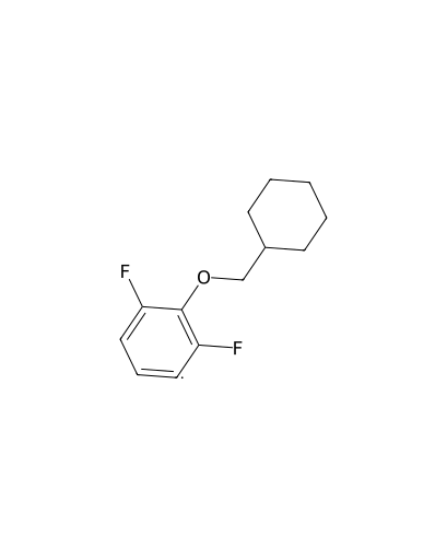 Fc1[c]ccc(F)c1OCC1CCCCC1